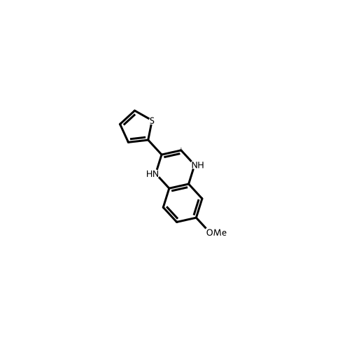 COc1ccc2c(c1)N[C]=C(c1cccs1)N2